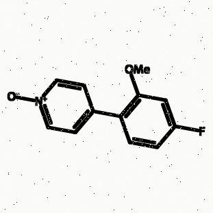 COc1cc(F)ccc1-c1cc[n+]([O-])cc1